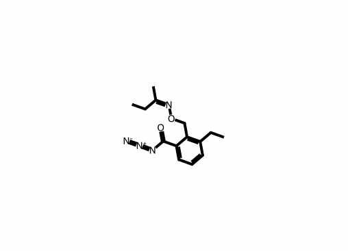 CCC(C)=NOCc1c(CC)cccc1C(=O)N=[N+]=[N-]